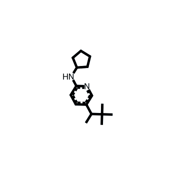 CC(c1ccc(NC2CCCC2)nc1)C(C)(C)C